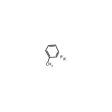 Cc1ccccc1.[P].[P]